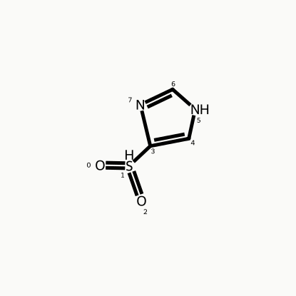 O=[SH](=O)c1c[nH]cn1